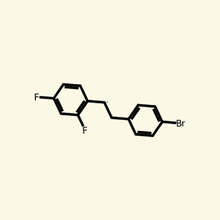 Fc1ccc([CH]Cc2ccc(Br)cc2)c(F)c1